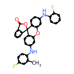 Cc1cc(F)ccc1Nc1ccc2c(c1)Oc1cc(Nc3ccccc3F)ccc1C21OC(=O)c2ccccc21